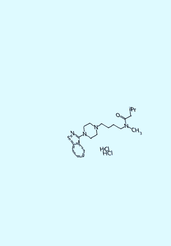 CC(C)CC(=O)N(C)CCCCN1CCN(c2nsc3ccccc23)CC1.Cl.Cl